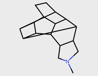 CN1CC2C(C1)C1C3C4CCC5C3C2C2C5C4C12